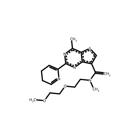 C=C(c1csc2c(C)nc(C3=CCCC=N3)nc12)N(C)CCOCCOC